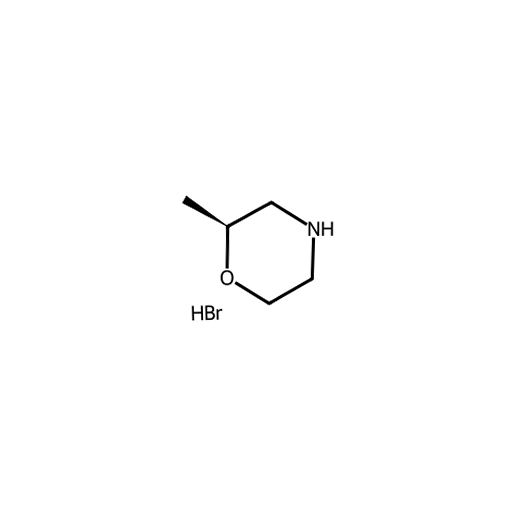 Br.C[C@H]1CNCCO1